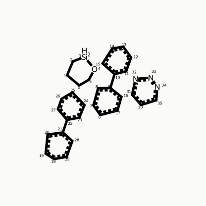 C1CC[SiH2]OC1.c1ccc(-c2ccccc2)cc1.c1ccc(-c2ccccc2)cc1.c1cnnnc1